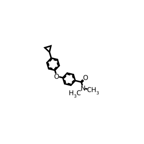 CN(C)C(=O)c1ccc(Oc2ccc(C3CC3)cc2)cc1